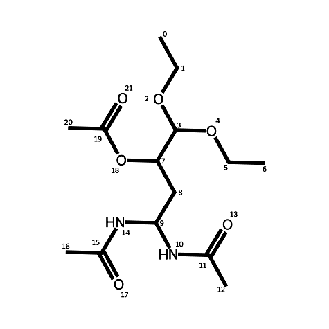 CCOC(OCC)C(CC(NC(C)=O)NC(C)=O)OC(C)=O